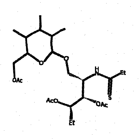 CCC(=S)N[C@@H](COC1OC(COC(C)=O)C(C)C(C)C1C)[C@H](OC(C)=O)[C@@H](CC)OC(C)=O